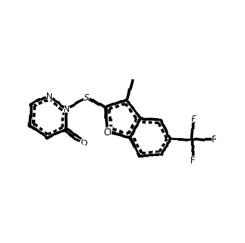 Cc1c(Sn2ncccc2=O)oc2ccc(C(F)(F)F)cc12